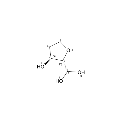 OC(O)[C@H]1OCC[C@@H]1O